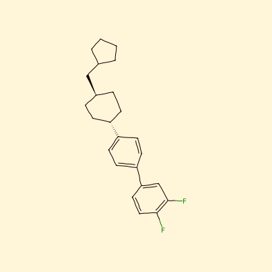 Fc1ccc(-c2ccc([C@H]3CC[C@H](CC4CCCC4)CC3)cc2)cc1F